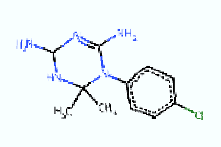 CC1(C)NC(N)N=C(N)N1c1ccc(Cl)cc1